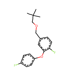 CC(C)(C)COCc1ccc(F)c(Oc2ccc(F)cc2)c1